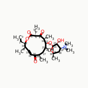 CC[C@H]1OC(=O)[C@H](C)C(=O)[C@H](C)[C@@H](O[C@@H]2O[C@H](C)C[C@H](N(C)C)[C@H]2O)[C@@H](C)C[C@@H](C)C(=O)/C=C/[C@H]1C